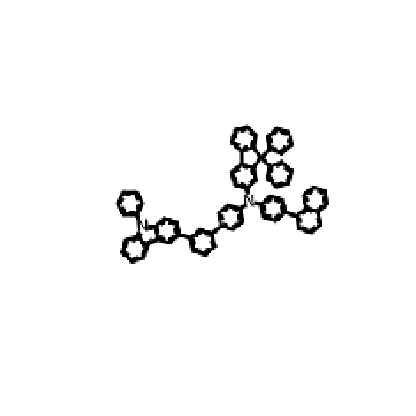 c1ccc(-n2c3ccccc3c3cc(-c4cccc(-c5ccc(N(c6ccc(-c7cccc8ccccc78)cc6)c6ccc7c(c6)C(c6ccccc6)(c6ccccc6)c6ccccc6-7)cc5)c4)ccc32)cc1